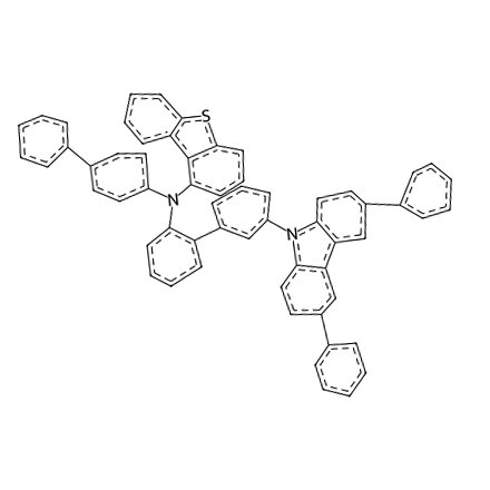 c1ccc(-c2ccc(N(c3ccccc3-c3cccc(-n4c5ccc(-c6ccccc6)cc5c5cc(-c6ccccc6)ccc54)c3)c3cccc4sc5ccccc5c34)cc2)cc1